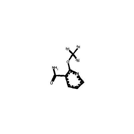 [2H]C([2H])([2H])Oc1ncccc1C(N)=O